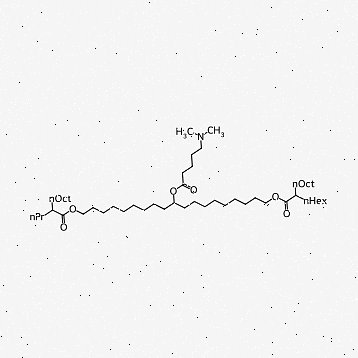 CCCCCCCCC(CCC)C(=O)OCCCCCCCCCC(CCCCCCCCCOC(=O)C(CCCCCC)CCCCCCCC)OC(=O)CCCCN(C)C